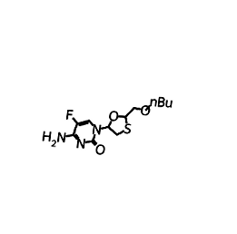 CCCCOCC1OC(n2cc(F)c(N)nc2=O)CS1